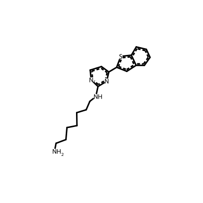 NCCCCCCCNc1nccc(-c2cc3ccccc3s2)n1